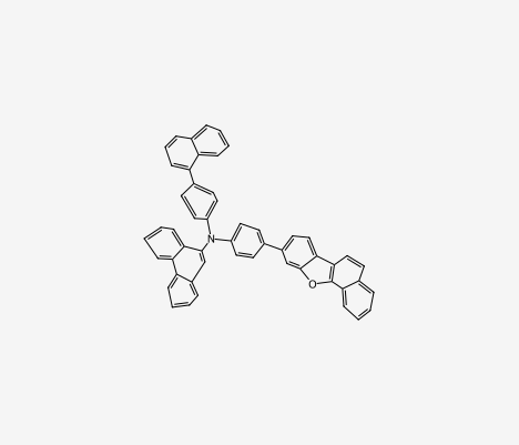 c1ccc2c(-c3ccc(N(c4ccc(-c5ccc6c(c5)oc5c7ccccc7ccc65)cc4)c4cc5ccccc5c5ccccc45)cc3)cccc2c1